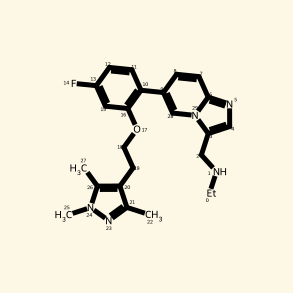 CCNCc1cnc2ccc(-c3ccc(F)cc3OCCc3c(C)nn(C)c3C)cn12